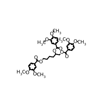 COc1ccc(C(=O)OCCCCC(COC(=O)c2ccc(OC)c(OC)c2)OC(=O)c2ccc(OC)c(OC)c2)cc1OC